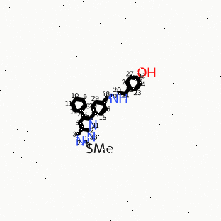 CSc1ncc2cc(-c3ccccc3)c(-c3ccc(CNCCc4ccc(O)cc4)cc3)nc2n1